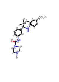 CCOC(=O)c1ccc2c(c1)CC(C)(C)C(c1cccc(NC(=O)N3CCN(C)CC3)c1)N2